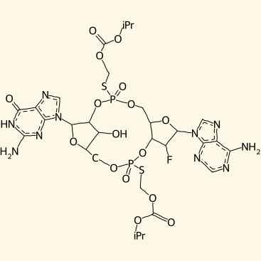 CC(C)OC(=O)OCSP1(=O)OCC2OC(n3cnc4c(=O)[nH]c(N)nc43)C(OP(=O)(SCOC(=O)OC(C)C)OCC3OC(n4cnc5c(N)ncnc54)C(F)C3O1)C2O